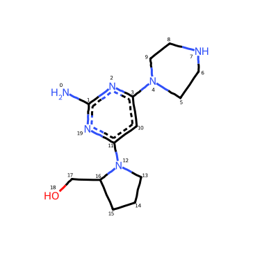 Nc1nc(N2CCNCC2)cc(N2CCCC2CO)n1